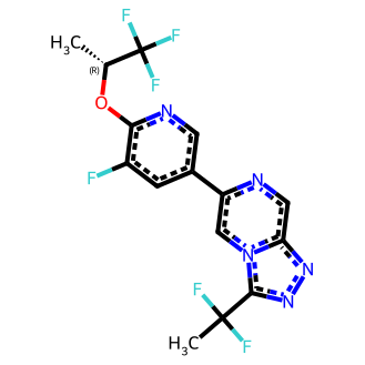 C[C@@H](Oc1ncc(-c2cn3c(C(C)(F)F)nnc3cn2)cc1F)C(F)(F)F